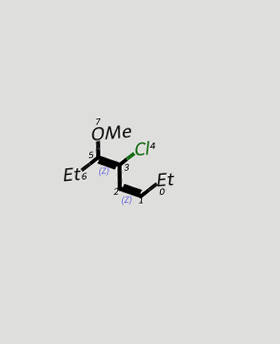 CC/C=C\C(Cl)=C(/CC)OC